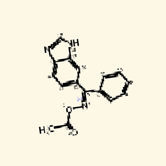 CC(=O)O/N=C(/c1ccccc1)c1ccc2nc[nH]c2c1